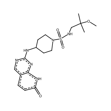 COC(C)(C)CNS(=O)(=O)N1CCC(Nc2ncc3ccc(=O)[nH]c3n2)CC1